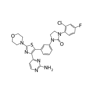 Nc1nccc(-c2nc(N3CCOCC3)sc2-c2cccc(N3CCN(c4ccc(F)cc4Cl)C3=O)c2)n1